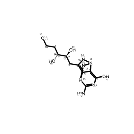 NC1=NC(O)=C2C3=C(C[C@H](O)[C@H](O)CCO)NN2NN13